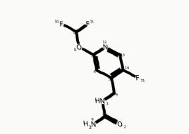 NC(=O)NCc1cc(OC(F)F)ncc1F